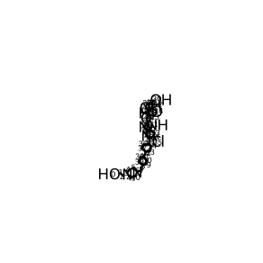 OCCN1CCN(Cc2ccc(-c3ccc(-c4nc5nc(O[C@@H]6CO[C@H]7[C@@H]6OC[C@H]7O)[nH]c5cc4Cl)cc3)cc2)CC1